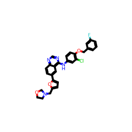 Fc1cccc(COc2ccc(Nc3ncnc4ccc(-c5ccc(CN6CCOC6)o5)cc34)cc2Cl)c1